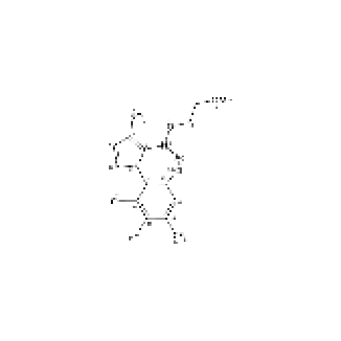 COCCON(C(C)=O)c1c([N+](=O)[O-])cnn1-c1c(Cl)cc(C(F)(F)F)c(F)c1Cl